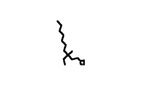 CCCCCCCC(C)(CC)CCCl